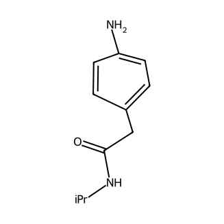 CC(C)NC(=O)Cc1ccc(N)cc1